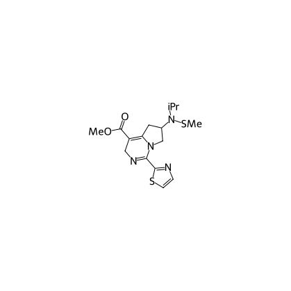 COC(=O)C1=C2CC(N(SC)C(C)C)CN2C(c2nccs2)=NC1